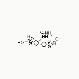 NC(=O)NC=C1c2cc(S(=O)(=O)NCCO)ccc2-c2ccc(S(=O)(=O)NCCO)cc21